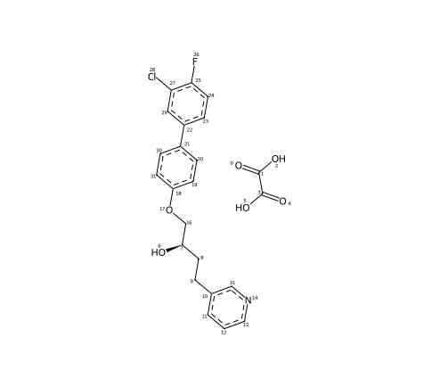 O=C(O)C(=O)O.O[C@H](CCc1cccnc1)COc1ccc(-c2ccc(F)c(Cl)c2)cc1